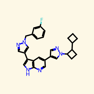 Fc1cccc(Cn2cc(-c3c[nH]c4ncc(-c5cnn(C6CCC6C6CCC6)c5)cc34)cn2)c1